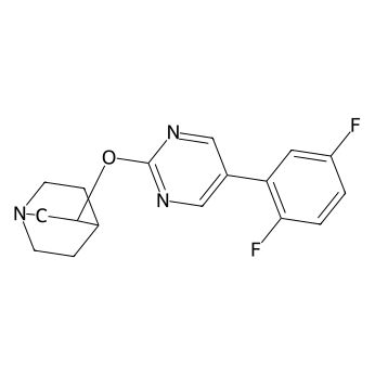 Fc1ccc(F)c(-c2cnc(OC3CN4CCC3CC4)nc2)c1